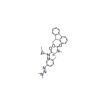 CC1=C=C1NC(=O)[C@@H](Cc1ccc(/N=N/N(C)C)cc1)N(C)C(=O)OCC1c2ccccc2-c2ccccc21